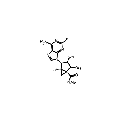 CNC(=O)[C@@]12C[C@@H]1[C@@H](n1cnc3c(N)nc(F)nc31)[C@@H](O)C2O